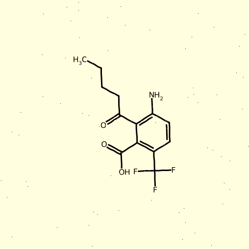 CCCCC(=O)c1c(N)ccc(C(F)(F)F)c1C(=O)O